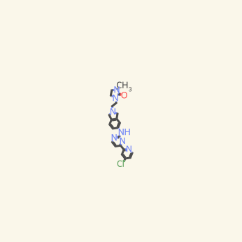 CN1CCN(CCN2Cc3ccc(Nc4nccc(-c5cc(Cl)ccn5)n4)cc3C2)C1=O